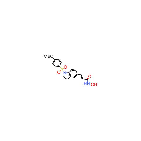 COc1ccc(S(=O)(=O)N2CCc3cc(C=CC(=O)NO)ccc32)cc1